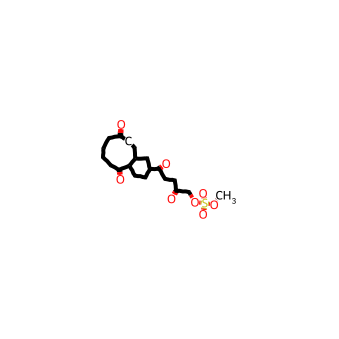 COS(=O)(=O)OCC(=O)CCC(=O)C1CCC2C(=O)CCCCC(=O)CCC2C1